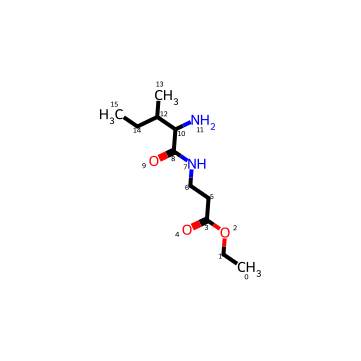 CCOC(=O)CCNC(=O)C(N)C(C)CC